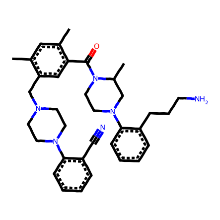 Cc1cc(C)c(C(=O)N2CCN(c3ccccc3CCCN)CC2C)cc1CN1CCN(c2ccccc2C#N)CC1